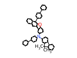 CC1(C)c2ccccc2-c2ccc(N(c3ccc(-c4ccccc4)cc3)c3ccc4oc5c(-c6ccc(-c7ccccc7)cc6)c6ccccc6cc5c4c3)cc21